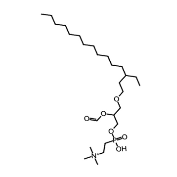 CCCCCCCCCCCCC(CC)CCOCC(COP(=O)(O)CC[N+](C)(C)C)OC=O